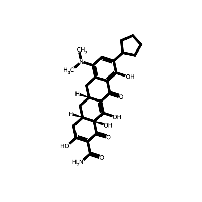 CN(C)c1cc(C2CCCC2)c(O)c2c1C[C@H]1C[C@H]3CC(O)=C(C(N)=O)C(=O)[C@@]3(O)C(O)=C1C2=O